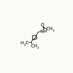 CC(=O)NCC12CC(C(C)C)(C1)C2